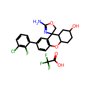 NC1=NC2(CO1)c1cc(-c3cccc(Cl)c3F)ccc1OC1CCC(O)CC12.O=C(O)C(F)(F)F